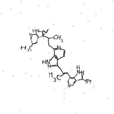 CC1C=Nc2[nH]nc(C(C)Cc3nccc4c(C(C)Cc5cncc6c(C(C)C)n[nH]c56)n[nH]c34)c2C1